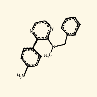 CN(Cc1ccccc1)c1nccnc1-c1ccc(N)cc1